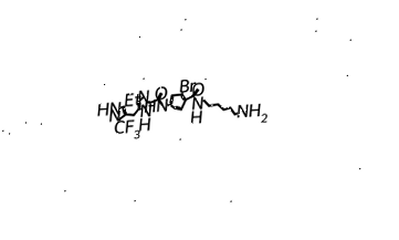 CCc1[nH]nc(C(F)(F)F)c1Cc1cnc(C(=O)Nc2ccc(C(=O)NCCCCCCN)c(Br)c2)[nH]1